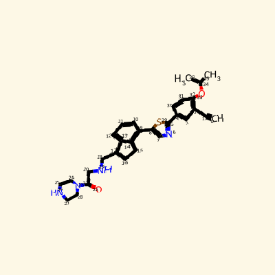 C#Cc1cc(-c2ncc(-c3cccc4c3CCC4CNCC(=O)N3CCNCC3)s2)ccc1OC(C)C